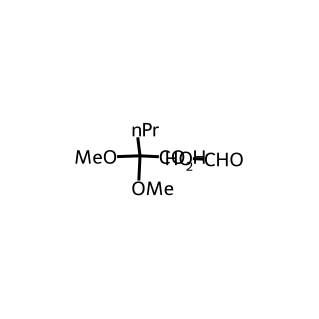 CCCC(OC)(OC)C(=O)O.O=CO